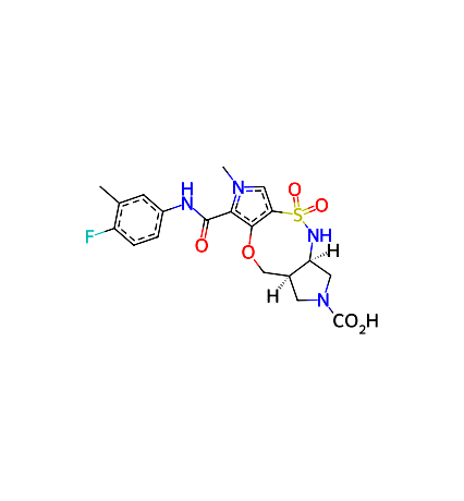 Cc1cc(NC(=O)c2c3c(cn2C)S(=O)(=O)N[C@H]2CN(C(=O)O)C[C@H]2CO3)ccc1F